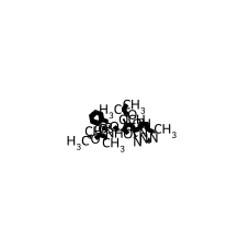 Cc1ncnn2c([C@]3(C#N)O[C@H](CO[P@@](=O)(Cc4ccccc4)N[C@@H](C)C(=O)OC(C)C)[C@@H](OC(=O)C(C)C)[C@@]3(C)O)ccc12